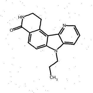 CCCn1c2cccnc2c2c3c(ccc21)C(=O)NCC3